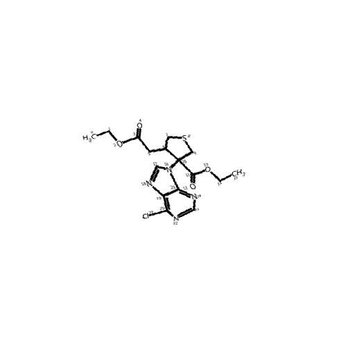 CCOC(=O)CC1CSCC1(C(=O)OCC)n1cnc2c(Cl)ncnc21